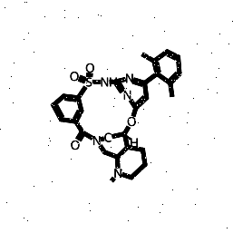 Cc1cccc(C)c1-c1cc2nc(n1)NS(=O)(=O)c1cccc(c1)C(=O)N1CC3C(CCCN3C)[C@@H](C1)O2